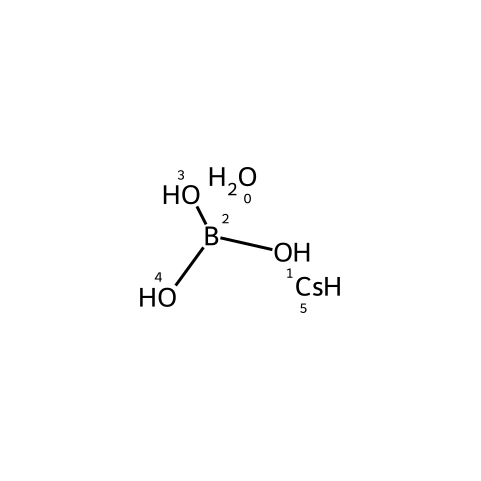 O.OB(O)O.[CsH]